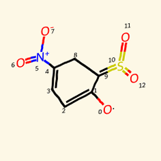 [O]C1=CC=C([N+](=O)[O-])CC1=S(=O)=O